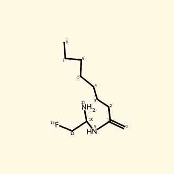 C=C(CCCCCCC)NC(N)CF